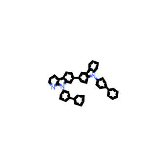 c1ccc(-c2ccc(-n3c4ccccc4c4cc(-c5ccc6c7cccnc7n(-c7cccc(-c8ccccc8)c7)c6c5)ccc43)cc2)cc1